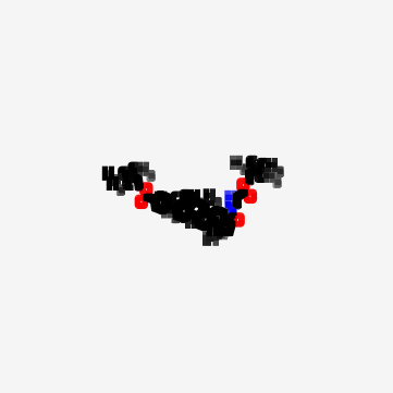 CC(C)[C@@H]1CC[C@]2(C(=O)NCCC(=O)OCC[Si](C)(C)C)CC[C@]3(C)[C@H](CC[C@@H]4[C@@]5(C)CC[C@H](c6ccc(C(=O)OCC[Si](C)(C)C)cc6)C(C)(C)[C@@H]5CC[C@]43C)[C@@H]12